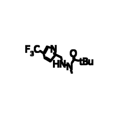 CN(NCc1ccc(C(F)(F)F)cn1)C(=O)C(C)(C)C